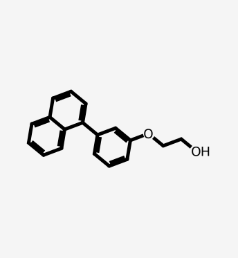 OCCOc1cccc(-c2cccc3ccccc23)c1